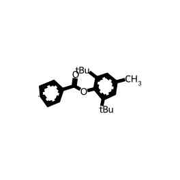 Cc1cc(C(C)(C)C)c(OC(=O)c2cc[c]cc2)c(C(C)(C)C)c1